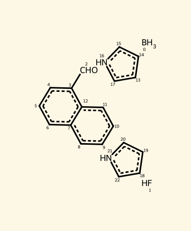 B.F.O=Cc1cccc2ccccc12.c1cc[nH]c1.c1cc[nH]c1